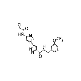 O=C(CCl)Nc1cn(-n2cc(C(=O)NCc3cccc(OC(F)(F)F)c3)nn2)nn1